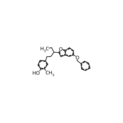 CCC(CCc1ccc(O)c(C)c1)c1cc2cc(OCc3ccccc3)ccc2o1